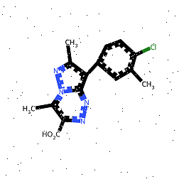 Cc1cc(-c2c(C)nn3c(C)c(C(=O)O)nnc23)ccc1Cl